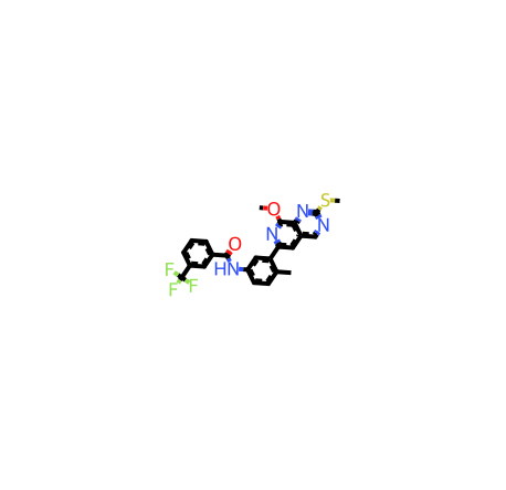 COc1nc(-c2cc(NC(=O)c3cccc(C(F)(F)F)c3)ccc2C)cc2cnc(SC)nc12